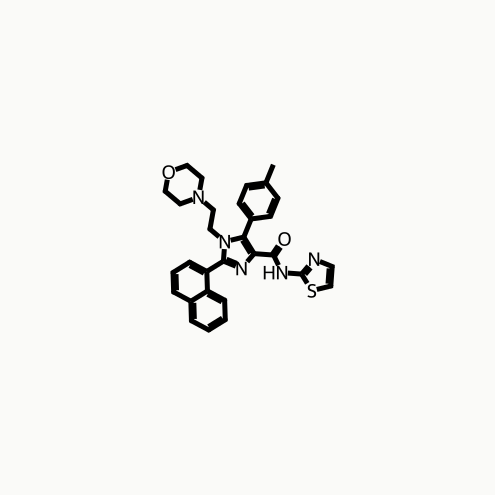 Cc1ccc(-c2c(C(=O)Nc3nccs3)nc(-c3cccc4ccccc34)n2CCN2CCOCC2)cc1